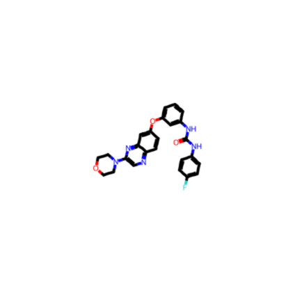 O=C(Nc1ccc(F)cc1)Nc1cccc(Oc2ccc3ncc(N4CCOCC4)nc3c2)c1